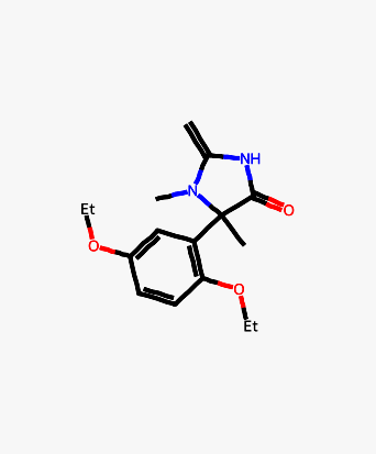 C=C1NC(=O)C(C)(c2cc(OCC)ccc2OCC)N1C